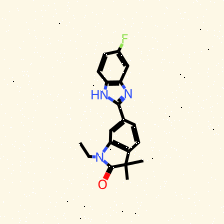 CCN1C(=O)C(C)(C)c2ccc(-c3nc4cc(F)ccc4[nH]3)cc21